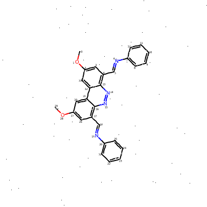 COc1cc(/C=N/c2ccccc2)c2nnc3c(/C=N/c4ccccc4)cc(OC)cc3c2c1